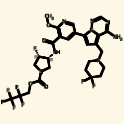 COc1ncc(-c2cc(CN3CCC(F)(F)CC3)c3c(N)ncnn23)cc1C(=O)N[C@@H]1CN(C(=O)OCC(F)(F)C(F)(F)F)C[C@@H]1F